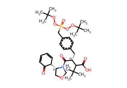 CC(C)(C)OOP(=O)(Cc1ccc(C[C@@H](C(=O)N2COC[C@@H]2C2C=CC=CC2=O)C(C(=O)O)C(C)(C)C)cc1)OOC(C)(C)C